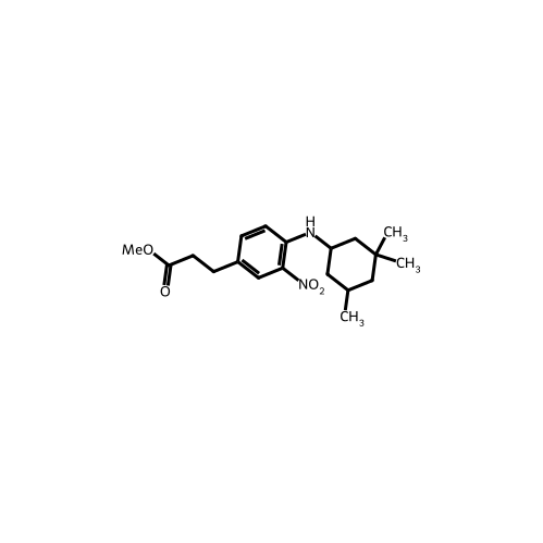 COC(=O)CCc1ccc(NC2CC(C)CC(C)(C)C2)c([N+](=O)[O-])c1